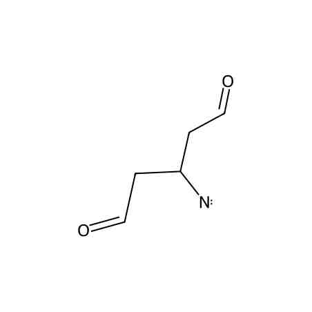 [N]C(CC=O)CC=O